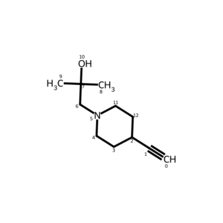 C#CC1CCN(CC(C)(C)O)CC1